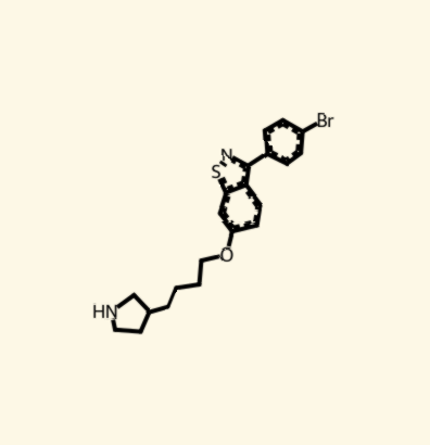 Brc1ccc(-c2nsc3cc(OCCCCC4CCNC4)ccc23)cc1